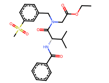 CCOC(=O)CN(Cc1cccc(S(C)(=O)=O)c1)C(=O)[C@@H](NC(=O)c1ccccc1)C(C)C